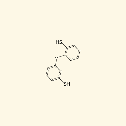 Sc1cccc([CH]c2ccccc2S)c1